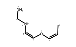 C/C=C\O/C=C\NCN